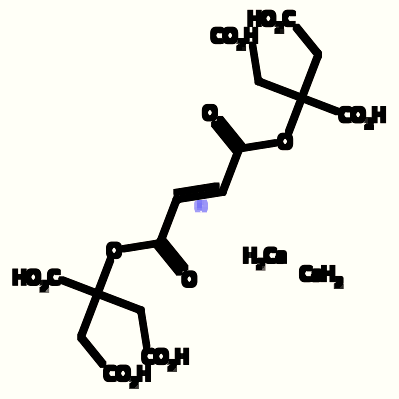 O=C(O)CC(CC(=O)O)(OC(=O)/C=C/C(=O)OC(CC(=O)O)(CC(=O)O)C(=O)O)C(=O)O.[CaH2].[CaH2]